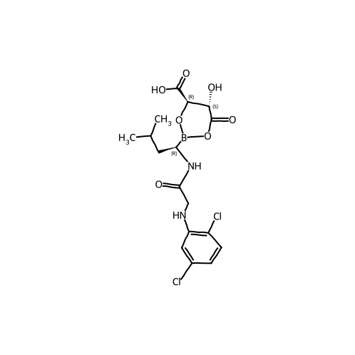 CC(C)C[C@H](NC(=O)CNc1cc(Cl)ccc1Cl)B1OC(=O)[C@@H](O)[C@H](C(=O)O)O1